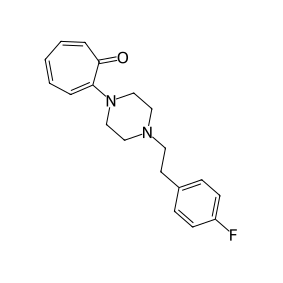 O=c1cccccc1N1CCN(CCc2ccc(F)cc2)CC1